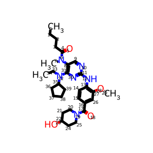 CCCCC(=O)N(C)c1cnc(Nc2ccc(C(=O)N3CCC(O)CC3)cc2OC)nc1N(CC)C1CCCC1